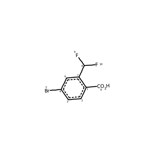 O=C(O)c1ccc(Br)cc1C(F)F